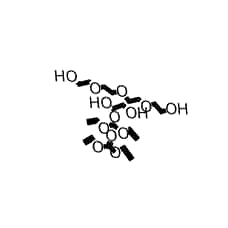 C=COC(=O)OC=C.C=COC(=O)OC=C.OCCO.OCCOCCOCCOCCO